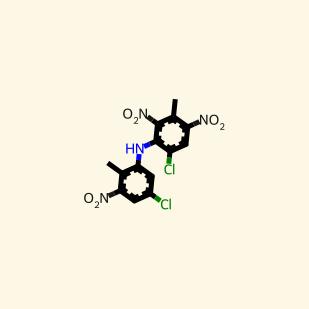 Cc1c(Nc2c(Cl)cc([N+](=O)[O-])c(C)c2[N+](=O)[O-])cc(Cl)cc1[N+](=O)[O-]